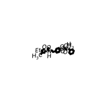 CCC1=C(C)CN(C(=O)NCCc2ccc(S(=O)(=O)N(C)C(=O)NC3CCCCC3)cc2)C1=O